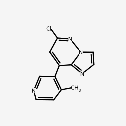 Cc1ccncc1-c1cc(Cl)nn2ccnc12